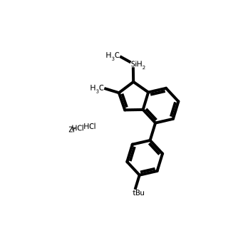 C[SiH2]C1C(C)=Cc2c(-c3ccc(C(C)(C)C)cc3)cccc21.Cl.Cl.[Zr]